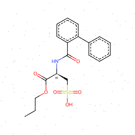 CCCOC(=O)[C@H](CS(=O)(=O)O)NC(=O)c1ccccc1-c1ccccc1